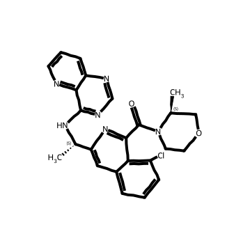 C[C@H](Nc1ncnc2cccnc12)c1cc2cccc(Cl)c2c(C(=O)N2CCOC[C@@H]2C)n1